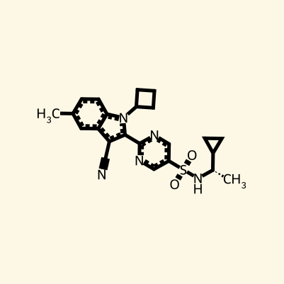 Cc1ccc2c(c1)c(C#N)c(-c1ncc(S(=O)(=O)N[C@@H](C)C3CC3)cn1)n2C1CCC1